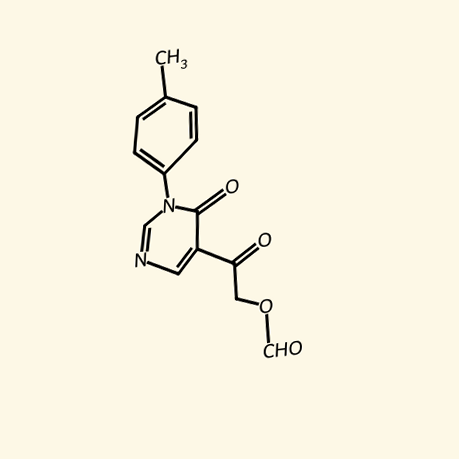 Cc1ccc(-n2cncc(C(=O)COC=O)c2=O)cc1